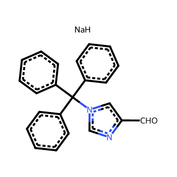 O=Cc1cn(C(c2ccccc2)(c2ccccc2)c2ccccc2)cn1.[NaH]